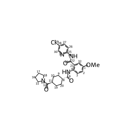 COc1ccc(NC(=O)[C@H]2CC[C@H](C(=O)N3CCCC3)CC2)c(C(=O)Nc2ccc(Cl)cn2)c1